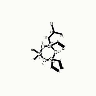 C=C[Si]1(C=C)O[Si](C)(C)O[Si](C=C)(CC(C)C)O1